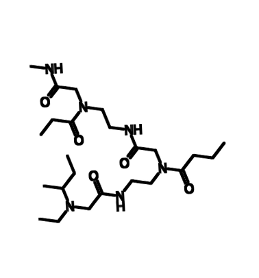 CCCC(=O)N(CCNC(=O)CN(CC)C(C)CC)CC(=O)NCCN(CC(=O)NC)C(=O)CC